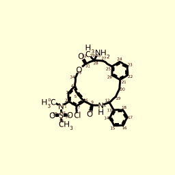 CN(c1cc2cc(c1Cl)C(=O)NC(c1ccccc1)CCc1cccc(c1)CC(C)(N)C(=O)OC2)S(C)(=O)=O